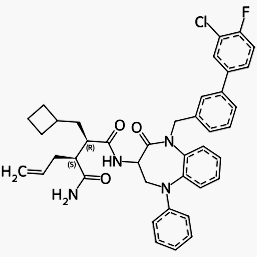 C=CC[C@H](C(N)=O)[C@@H](CC1CCC1)C(=O)NC1CN(c2ccccc2)c2ccccc2N(Cc2cccc(-c3ccc(F)c(Cl)c3)c2)C1=O